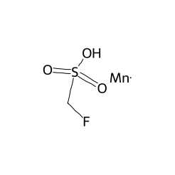 O=S(=O)(O)CF.[Mn]